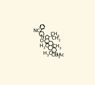 C=C(C)[C@@H]1CC[C@]2(C(=O)N3CCC(C#N)(c4ccccc4)CC3)CC=C3C(CCC4[C@@]5(C)CCC(OC(C)=O)C(C)(C)C5CC[C@@]34C)C12